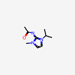 CC(=O)/N=c1\n(C)ccn1C(C)C